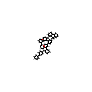 CC1(C)c2ccccc2-c2cccc(-n3c4ccccc4c4c(-c5cccc(-c6ccccc6N(c6ccc(-c7ccccc7)cc6)c6ccc(-c7ccccc7)cc6)c5)cccc43)c21